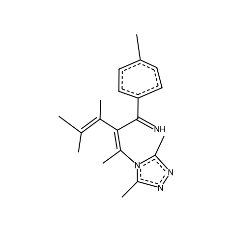 CC(C)=C(C)/C(C(=N)c1ccc(C)cc1)=C(\C)n1c(C)nnc1C